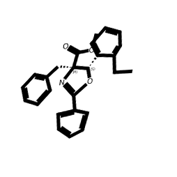 CCc1ccccc1[C@@H]1OC(c2ccccc2)=N[C@@]1(Cc1ccccc1)C(=O)OC